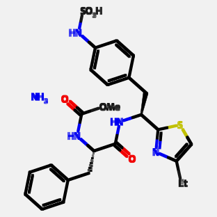 CCc1csc([C@H](Cc2ccc(NS(=O)(=O)O)cc2)NC(=O)[C@H](Cc2ccccc2)NC(=O)OC)n1.N